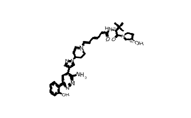 CC(C)(C)[C@H](NC(=O)CCCCCN1CCC(n2cc(-c3cc(-c4ccccc4O)nnc3N)cn2)CC1)C(=O)N1CC[C@@H](O)C1